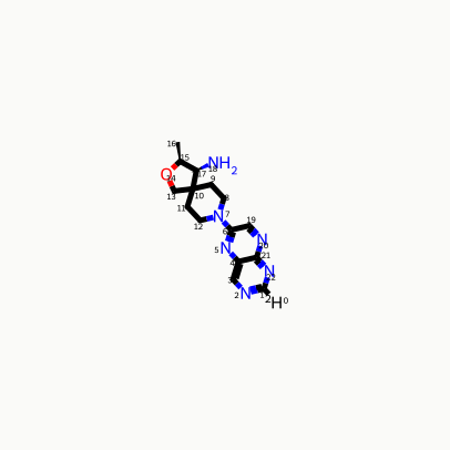 [2H]c1ncc2nc(N3CCC4(CC3)CO[C@@H](C)[C@H]4N)cnc2n1